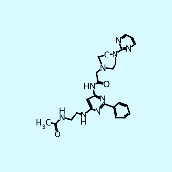 CC(=O)NCCNc1cc(NC(=O)CN2CCN(c3ncccn3)CC2)nc(-c2ccccc2)n1